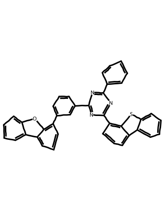 c1ccc(-c2nc(-c3cccc(-c4cccc5c4oc4ccccc45)c3)nc(-c3cccc4c3sc3ccccc34)n2)cc1